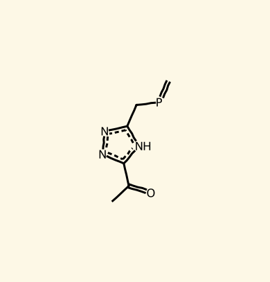 C=PCc1nnc(C(C)=O)[nH]1